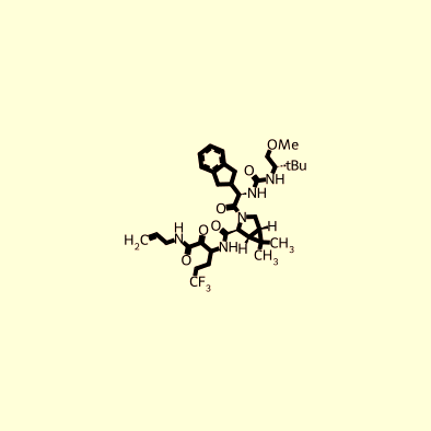 C=CCNC(=O)C(=O)C(CCC(F)(F)F)NC(=O)[C@@H]1[C@@H]2[C@H](CN1C(=O)[C@@H](NC(=O)N[C@H](COC)C(C)(C)C)C1Cc3ccccc3C1)C2(C)C